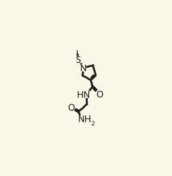 NC(=O)CNC(=O)C1=CCN(SI)C1